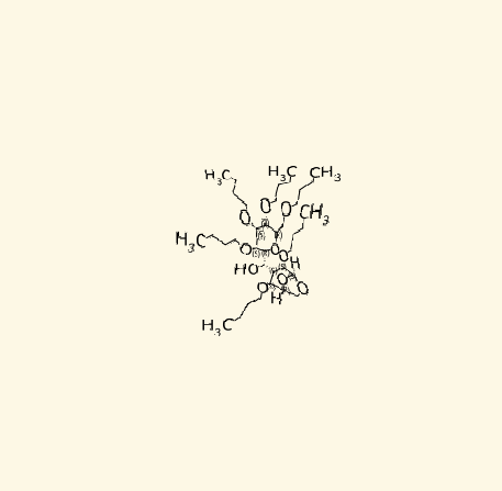 CCCCOC[C@H]1O[C@H](C(O)[C@@H]2[C@H](OCCCC)[C@H]3OC[C@@H](O3)[C@H]2OCCCC)[C@@H](OCCCC)[C@@H](OCCCC)[C@@H]1OCCCC